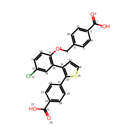 O=C(O)c1ccc(COc2ccc(Cl)cc2-c2ccsc2-c2ccc(C(=O)O)cc2)cc1